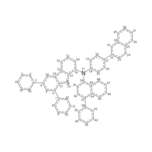 c1ccc(-c2cc(-c3ccccc3)c3sc4c(N(c5ccc(-c6ccc7ccccc7c6)cc5)c5ccc(-c6ccccc6)c6ccccc56)cccc4c3c2)cc1